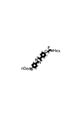 CCCCCCCCCCOc1ccc(-c2ncc(-c3ccc(OCC(F)CCCCCC)cc3)cn2)cc1